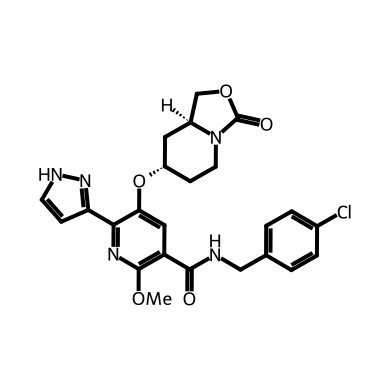 COc1nc(-c2cc[nH]n2)c(O[C@H]2CCN3C(=O)OC[C@@H]3C2)cc1C(=O)NCc1ccc(Cl)cc1